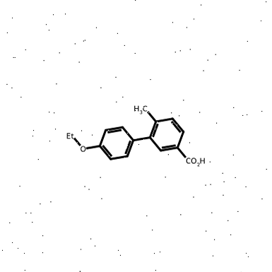 CCOc1ccc(-c2cc(C(=O)O)ccc2C)cc1